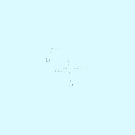 O=P([O-])([O-])[O-].[Li+].[Zr+4]